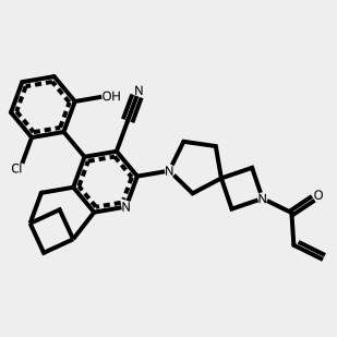 C=CC(=O)N1CC2(CCN(c3nc4c(c(-c5c(O)cccc5Cl)c3C#N)CC3CC4C3)C2)C1